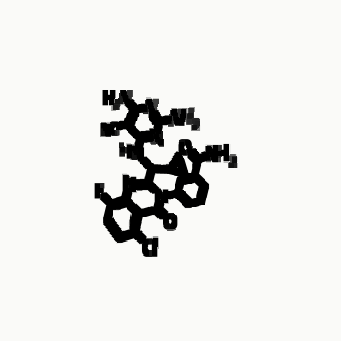 N#Cc1c(N)nc(N)nc1NC(c1nc2c(F)ccc(Cl)c2c(=O)n1-c1cccc(C(N)=O)c1)C1CC1